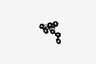 c1ccc(-c2cccc(-c3ccc(N(c4cccc5c4oc4ccccc45)c4cccc5c4oc4ccccc45)cc3)c2)cc1